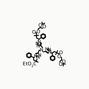 CCOC(=O)C(C)(C)CC(c1ccccc1)n1cc(CN(Cc2cn(C(CC(C)(C)C(=O)OCC3COC(C)(C)O3)c3ccccc3)nn2)Cc2cn(C(CC(C)(C)C(=O)OCC3COC(C)(C)O3)c3ccccc3)nn2)nn1